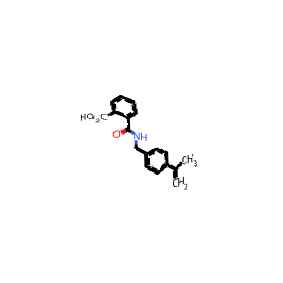 C=C(C)c1ccc(CNC(=O)c2ccccc2C(=O)O)cc1